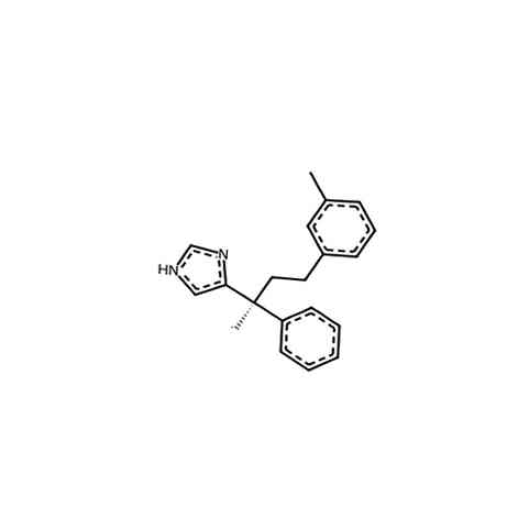 [CH2][C@](CCc1cccc(C)c1)(c1ccccc1)c1c[nH]cn1